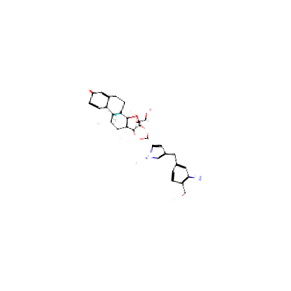 Cn1cc(Cc2ccc(CO)c(N)c2)cc1[C@@H]1O[C@@H]2C[C@H]3[C@@H]4CCC5=CC(=O)C=C[C@]5(C)[C@@]4(F)[C@@H](O)C[C@]3(C)[C@]2(C(=O)CO)O1